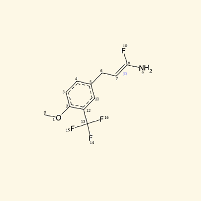 COc1ccc(C/C=C(/N)F)cc1C(F)(F)F